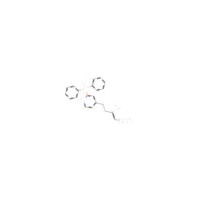 CN/C=C(\N)CCc1ccnc([PH](C)(c2ccccc2)c2ccccc2)c1